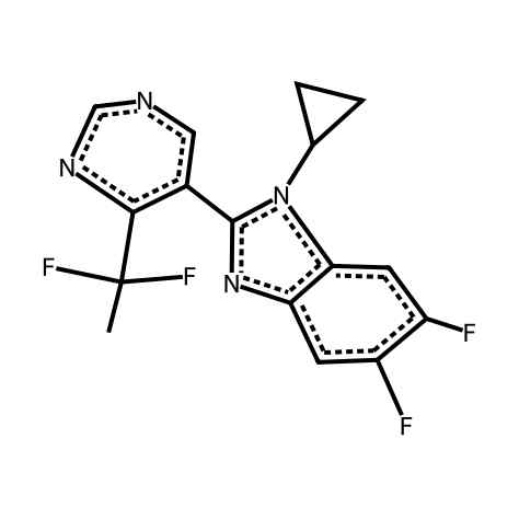 CC(F)(F)c1ncncc1-c1nc2cc(F)c(F)cc2n1C1CC1